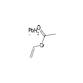 C=COC(C)=O.[PbH2]